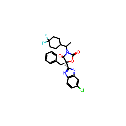 CC(C1CCC(F)(F)CC1)N1C(=O)O[C@](Cc2ccccc2)(c2nc3ccc(Cl)cc3[nH]2)C1=O